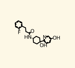 O=C(CCc1ccccc1F)N[C@H]1CC[C@](O)(c2ccc(O)cn2)CC1